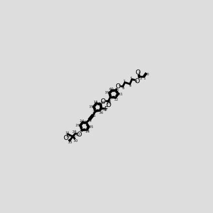 C=CC(=O)OCCCCOc1ccc(C(=O)Oc2ccc(C#Cc3ccc(OCC4(C)COC4)cc3)cc2F)cc1